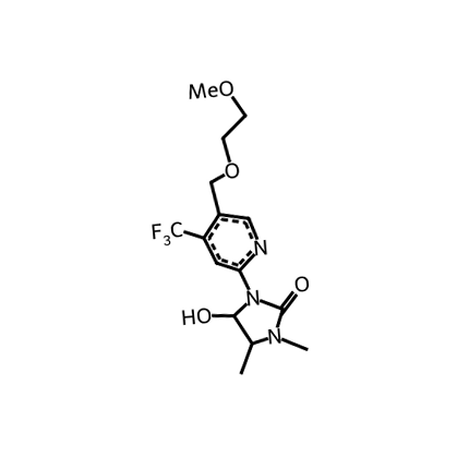 COCCOCc1cnc(N2C(=O)N(C)C(C)C2O)cc1C(F)(F)F